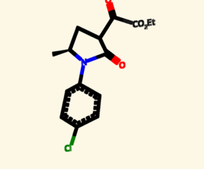 CCOC(=O)C(=O)C1C[C@H](C)N(c2ccc(Cl)cc2)C1=O